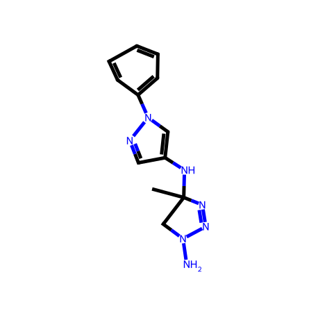 CC1(Nc2cnn(-c3ccccc3)c2)CN(N)N=N1